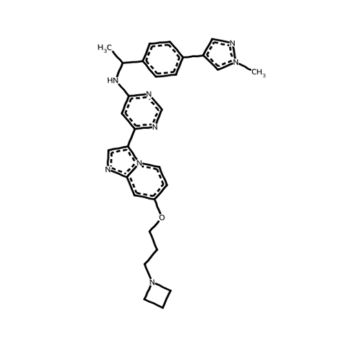 CC(Nc1cc(-c2cnc3cc(OCCCN4CCC4)ccn23)ncn1)c1ccc(-c2cnn(C)c2)cc1